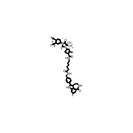 CC1(C)C(=O)N(c2ccc(C#N)c(C(F)(F)F)c2)C(=S)N1c1ccc(C(=O)NCCCCCC(=O)NCc2ccc(-c3[nH]c4cc(F)cc5c4c3CCNC5=O)cc2)c(F)c1